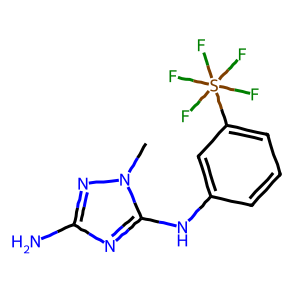 Cn1nc(N)nc1Nc1cccc(S(F)(F)(F)(F)F)c1